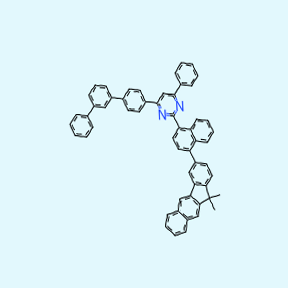 CC1(C)c2ccc(-c3ccc(-c4nc(-c5ccccc5)cc(-c5ccc(-c6cccc(-c7ccccc7)c6)cc5)n4)c4ccccc34)cc2-c2cc3ccccc3cc21